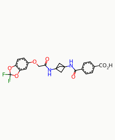 O=C(COc1ccc2c(c1)OC(F)(F)O2)NC12CC(NC(=O)c3ccc(C(=O)O)cc3)(C1)C2